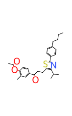 CCCCc1ccc(-c2nc(C(C)C)c(CCC(=O)c3ccc(OC(C)=O)c(C)c3)s2)cc1